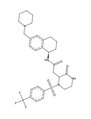 O=C(CC1C(=O)NCCN1S(=O)(=O)c1ccc(C(F)(F)F)cc1)N[C@@H]1CCCc2cc(CN3CCCCC3)ccc21